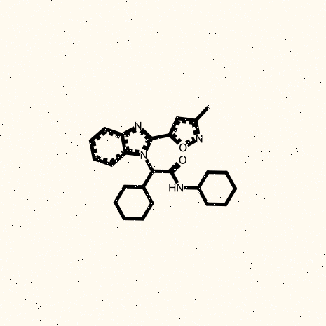 Cc1cc(-c2nc3ccccc3n2C(C(=O)NC2CCCCC2)C2CCCCC2)on1